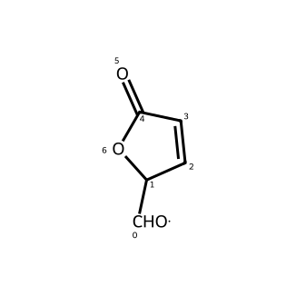 O=[C]C1C=CC(=O)O1